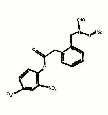 CCCCON(C=O)Cc1ccccc1CC(=O)Oc1ccc([N+](=O)[O-])cc1[N+](=O)[O-]